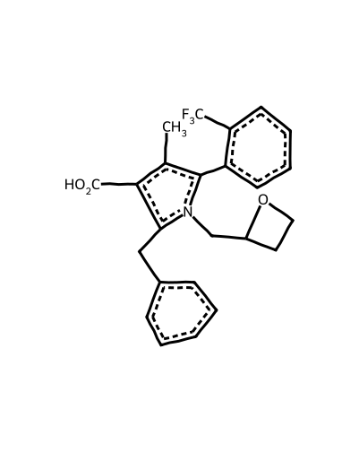 Cc1c(C(=O)O)c(Cc2ccccc2)n(CC2CCO2)c1-c1ccccc1C(F)(F)F